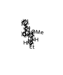 CCc1cc(Nc2cc(OC)nc(N3CCCC3c3cc(-c4cnccn4)no3)n2)n[nH]1